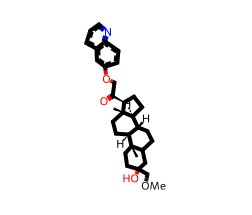 COCC1(O)CC[C@@]2(C)C(CC[C@H]3[C@@H]4CC[C@H](C(=O)COc5ccc6ncccc6c5)[C@@]4(C)CC[C@@H]32)C1